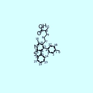 Cc1ccc(-c2c(CCCC(C)C(=O)O)c(C)nc3sc4ccccc4c23)cc1